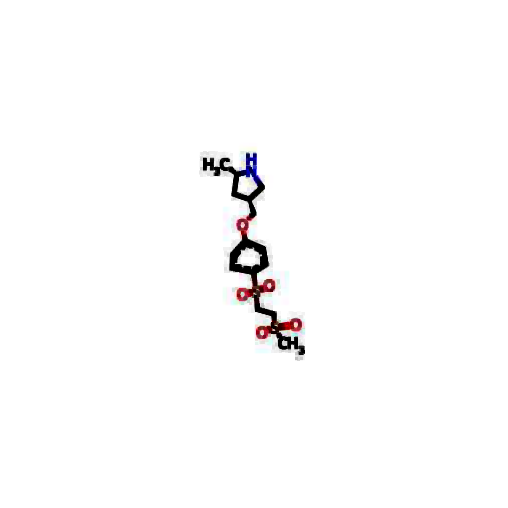 C[C@@H]1C[C@H](COc2ccc(S(=O)(=O)CCS(C)(=O)=O)cc2)CN1